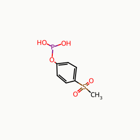 CS(=O)(=O)c1ccc(OP(O)O)cc1